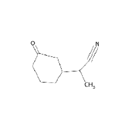 CC(C#N)C1CCCC(=O)C1